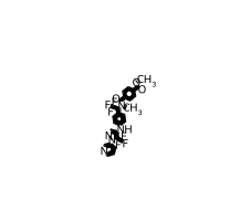 COC(=O)C1CCC(C(=O)N(C)[C@@H](c2ccc(Nc3cnn(-c4cccnc4)c3C(F)(F)F)cc2)C(F)(F)F)CC1